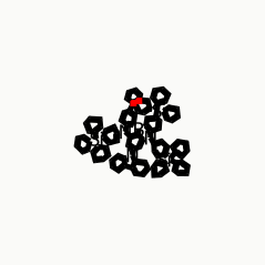 c1ccc(-c2ccc3c(c2)B2c4cc([Si](c5ccccc5)(c5ccccc5)c5ccccc5)ccc4N(c4ccc([Si](c5ccccc5)(c5ccccc5)c5ccccc5)cc4)c4cc(-n5c6ccccc6c6ccccc65)cc(c42)N3c2ccc([Si](c3ccccc3)(c3ccccc3)c3ccccc3)cc2)cc1